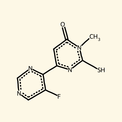 Cn1c(S)nc(-c2ncncc2F)cc1=O